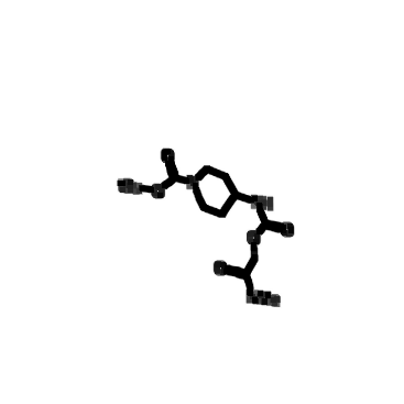 CNC(=O)COC(=O)NC1CCN(C(=O)OC(C)(C)C)CC1